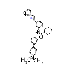 CN(C)c1ccc(-c2ccc(CN(C(=O)C3CCCCC3)c3cccc(/C=C/c4cccnc4)c3)cc2)cc1